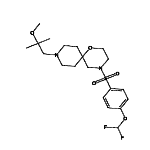 COC(C)(C)CN1CCC2(CC1)CN(S(=O)(=O)c1ccc(OC(F)F)cc1)CCO2